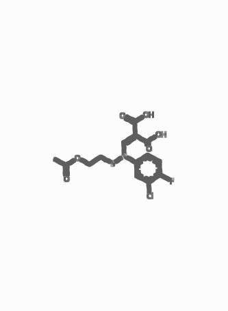 CC(=O)OCCSN(C=C(C(=O)O)C(=O)O)c1ccc(F)c(Cl)c1